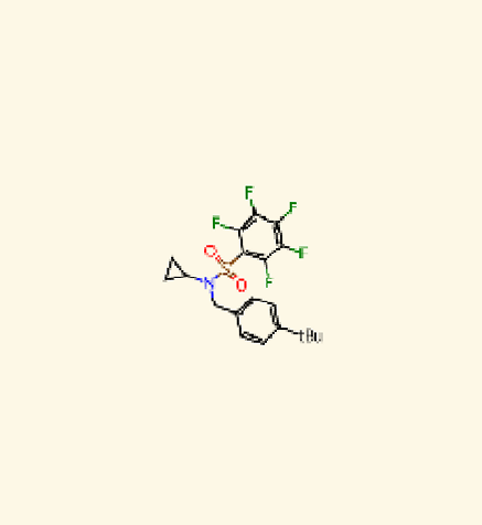 CC(C)(C)c1ccc(CN(C2CC2)S(=O)(=O)c2c(F)c(F)c(F)c(F)c2F)cc1